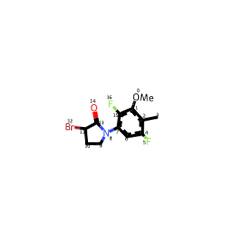 COc1c(C)c(F)cc(N2CCC(Br)C2=O)c1F